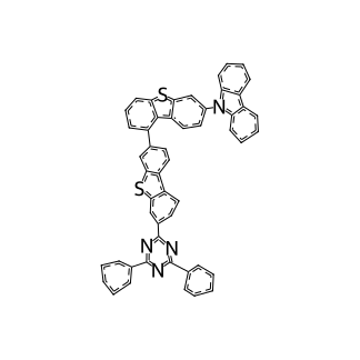 c1ccc(-c2nc(-c3ccccc3)nc(-c3ccc4c(c3)sc3cc(-c5cccc6sc7cc(-n8c9ccccc9c9ccccc98)ccc7c56)ccc34)n2)cc1